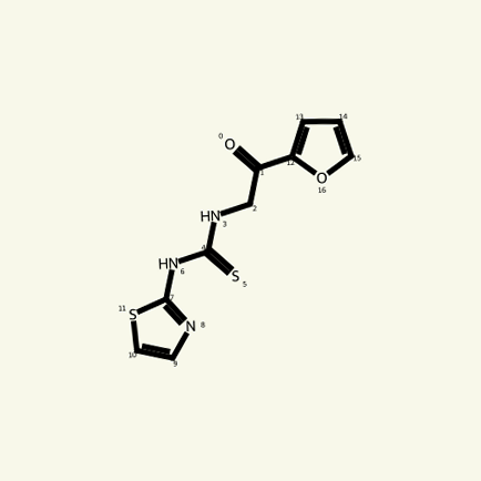 O=C(CNC(=S)Nc1nccs1)c1ccco1